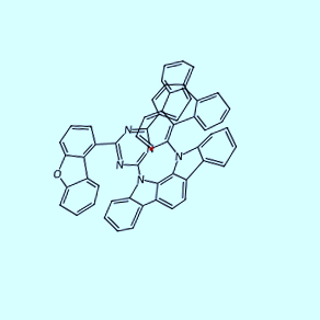 c1ccc(-c2nc(-c3cccc4oc5ccccc5c34)nc(-n3c4ccccc4c4ccc5c6ccccc6n(-c6cccc7c8ccccc8c8ccccc8c67)c5c43)n2)cc1